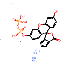 N.N.N.N.O=C1OC2(c3ccc(O)cc3Oc3cc(OP(=O)(O)OP(=O)(O)O)ccc32)c2ccccc21